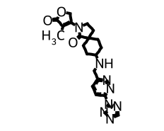 CC1=C(N2CCC3(CCC(NCc4ccc(-n5ncnn5)nn4)CC3)C2=O)COC1=O